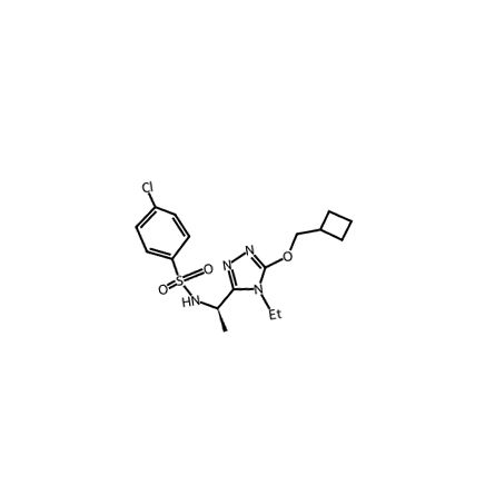 CCn1c(OCC2CCC2)nnc1[C@@H](C)NS(=O)(=O)c1ccc(Cl)cc1